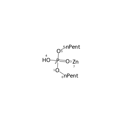 CCCCCOP(=O)(O)OCCCCC.[Zn]